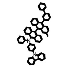 Cc1ccc2c(-c3cccc(-c4ccccc4)c3)c3ccccc3c(-c3c4ccccc4c(N(c4ccccc4)c4ccc(-n5c6ccccc6c6ccccc65)cc4)c4ccccc34)c2c1